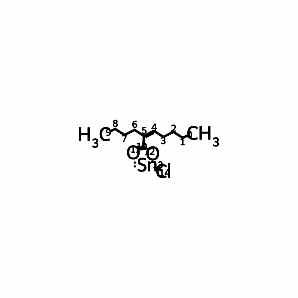 CCCCC=C(CCCC)C(=O)[O][Sn][Cl]